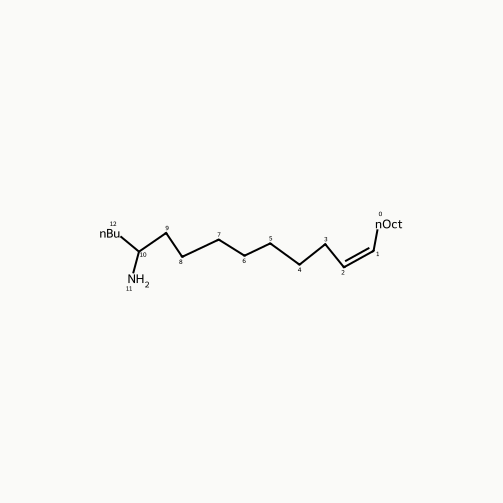 CCCCCCCC/C=C\CCCCCCCC(N)CCCC